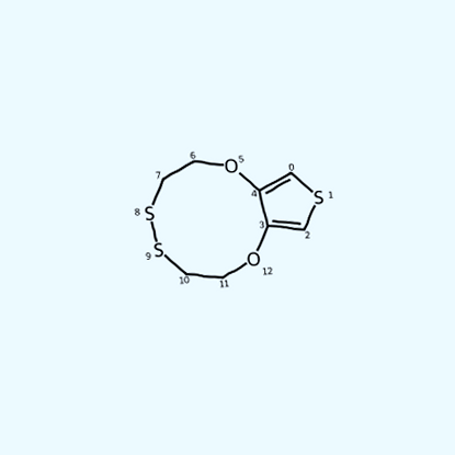 c1scc2c1OCCSSCCO2